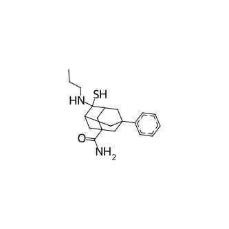 CCCNC1(S)C2CC3(C(N)=O)CC1CC(c1ccccc1)(C2)C3